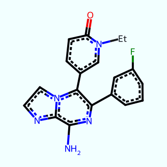 CCn1cc(-c2c(-c3cccc(F)c3)nc(N)c3nccn23)ccc1=O